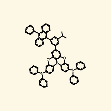 CC(C)c1cc(-c2cc3c4c(c2)Oc2cc(N(c5ccccc5)c5ccccc5)ccc2B4c2ccc(N(c4ccccc4)c4ccccc4)cc2O3)cc(-c2c3ccccc3c(-c3ccccc3)c3ccccc23)c1